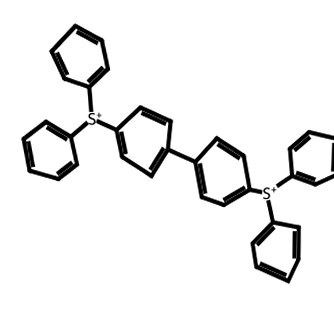 c1ccc([S+](c2ccccc2)c2ccc(-c3ccc([S+](c4ccccc4)c4ccccc4)cc3)cc2)cc1